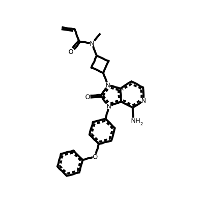 C=CC(=O)N(C)C1CC(n2c(=O)n(-c3ccc(Oc4ccccc4)cc3)c3c(N)nccc32)C1